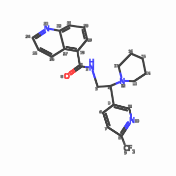 O=C(NCC(c1ccc(C(F)(F)F)nc1)N1CCCCC1)c1cccc2ncccc12